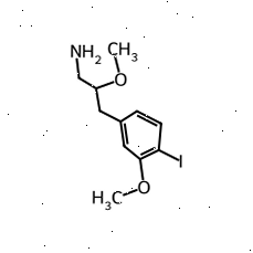 COc1cc(CC(CN)OC)ccc1I